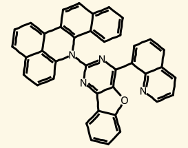 c1ccc2c3c(ccc2c1)-c1cccc2cccc(c12)N3c1nc(-c2cccc3cccnc23)c2oc3ccccc3c2n1